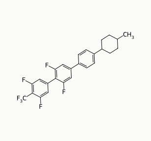 CC1CCC(c2ccc(-c3cc(F)c(-c4cc(F)c(C(F)(F)F)c(F)c4)c(F)c3)cc2)CC1